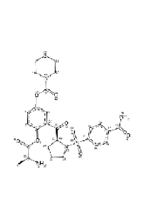 C[C@H](N)C(=O)Oc1ccc(OC(=O)N2CCSCC2)cc1C(=O)[C@@H]1CCCN1S(=O)(=O)c1ccc(C(N)=O)cc1